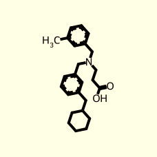 Cc1cccc(CN(CCC(=O)O)Cc2cccc(CC3CCCCC3)c2)c1